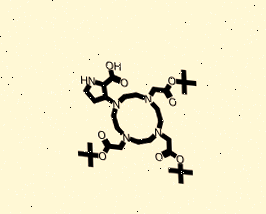 CC(C)(C)OC(=O)CN1CCN(CC(=O)OC(C)(C)C)CCN(C2CCNC2C(=O)O)CCN(CC(=O)OC(C)(C)C)CC1